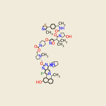 CCc1cccc2cc(O)cc(-c3ncc4c(N5CC6CCC(C5)N6)nc(OC[C@@H]5CC[C@@H](COC(=O)N6CCC(Oc7cc([C@@H](C(=O)N8C[C@H](O)C[C@H]8C(=O)N[C@@H](C)c8ccc(-c9scnc9C)cc8)C(C)C)on7)CC6)N5C)nc4c3F)c12